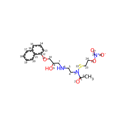 CC(=O)N(CCNCC(O)COc1cccc2ccccc12)SCCO[N+](=O)[O-]